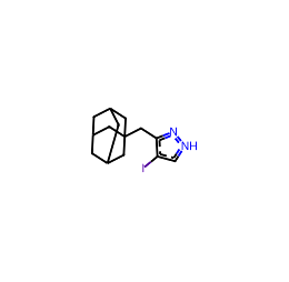 Ic1c[nH]nc1CC12CC3CC(CC(C3)C1)C2